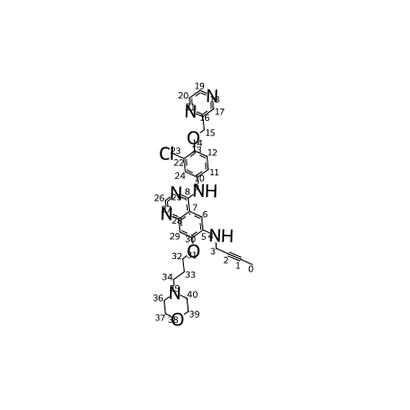 CC#CCNc1cc2c(Nc3ccc(OCc4cnccn4)c(Cl)c3)ncnc2cc1OCCCN1CCOCC1